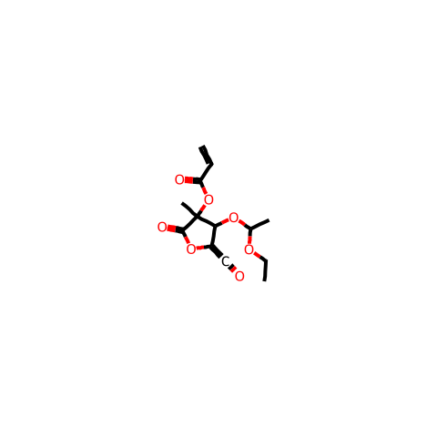 C=CC(=O)OC1(C)C(=O)OC(=C=O)C1OC(C)OCC